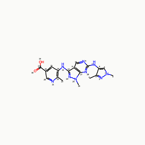 Cc1nn(C)cc1Nc1ncc2c(Nc3cc(C(=O)O)cnc3C)nn(C)c2n1